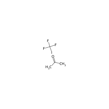 CC(C)=O.FC(F)(F)I